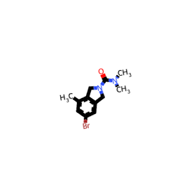 Cc1cc(Br)cc2c1CN(C(=O)N(C)C)C2